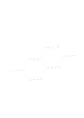 Cc1nc(C)c2cc(Cl)ccc2n1